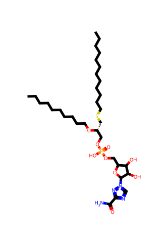 CCCCCCCCCCCCSC[C@H](COP(=O)(O)OCC1OC(n2cnc(C(N)=O)n2)C(O)C1O)OCCCCCCCCCC